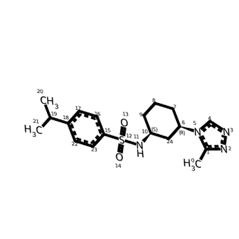 Cc1nncn1[C@@H]1CCC[C@H](NS(=O)(=O)c2ccc(C(C)C)cc2)C1